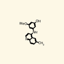 COc1cc(O)cc(Nc2ccnc3ccc(C)cc23)c1